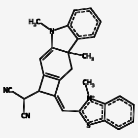 CN1C2=CC3=C(CC2(C)c2ccccc21)/C(=C\c1sc2ccccc2[n+]1C)C3C(C#N)C#N